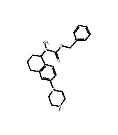 CN(C(=O)OCc1ccccc1)C1CCCc2cc(N3CCNCC3)ccc21